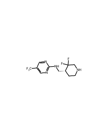 FC(F)(F)c1cnc(NC[C@H]2CCNCC2(F)F)nc1